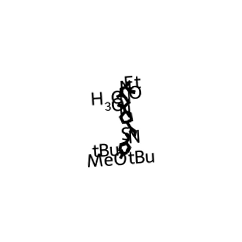 CCn1cc(C)n(CC(=O)N2CCC(c3cnc(-c4cc(C(C)(C)C)c(OC)c(C(C)(C)C)c4)s3)CC2)c1=O